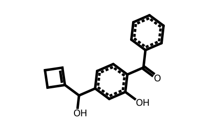 O=C(c1ccccc1)c1ccc(C(O)C2=CCC2)cc1O